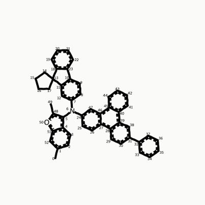 Cc1ccc2c(N(c3ccc4c(c3)C3(CCCC3)c3ccccc3-4)c3ccc4c5ccc(-c6ccccc6)cc5c5ccccc5c4c3)c(C)oc2c1